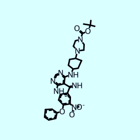 CC(C)(C)OC(=O)N1CCN(C2CCC(Nc3ncnc(N)c3C(=N)c3ccc(Oc4ccccc4)c([N+](=O)[O-])c3)CC2)CC1